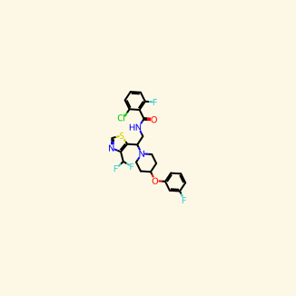 O=C(NCC(c1scnc1C(F)F)N1CCC(Oc2cccc(F)c2)CC1)c1c(F)cccc1Cl